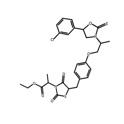 CCOC(=O)C(C)N1C(=O)SC(Cc2ccc(OCC(C)N3CC(c4cccc(Cl)c4)OC3=S)cc2)C1=O